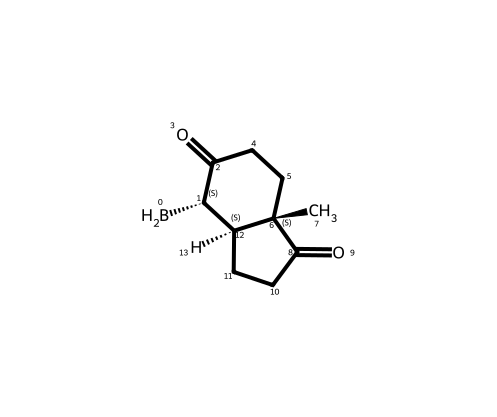 B[C@@H]1C(=O)CC[C@]2(C)C(=O)CC[C@@H]12